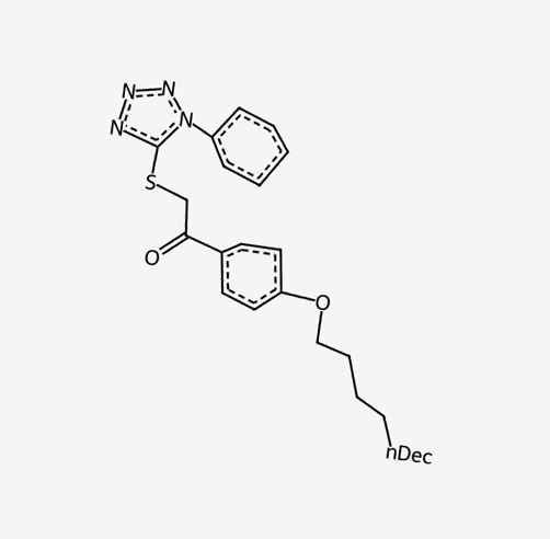 CCCCCCCCCCCCCCOc1ccc(C(=O)CSc2nnnn2-c2ccccc2)cc1